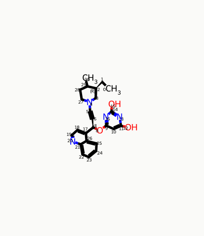 CC[C@H]1CN(C#C[C@@H](Oc2cc(O)nc(O)n2)c2ccnc3ccccc23)CCC1C